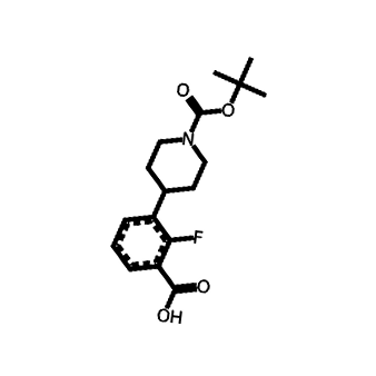 CC(C)(C)OC(=O)N1CCC(c2cccc(C(=O)O)c2F)CC1